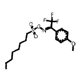 CCCCCCCCS(=O)(=O)ON=C(c1ccc(OC)cc1)C(F)(F)F